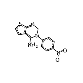 NC1=c2ccsc2=NCN1c1ccc([N+](=O)[O-])cc1